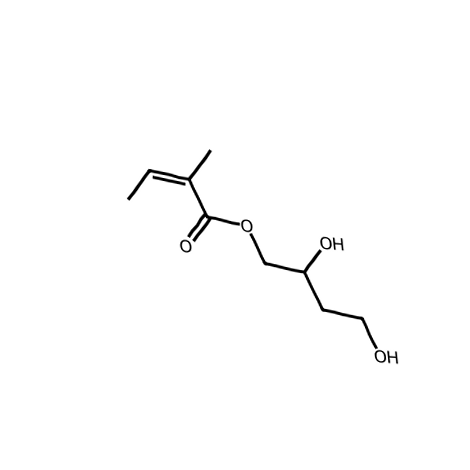 CC=C(C)C(=O)OCC(O)CCO